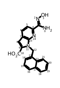 N/C(=N\O)c1ccc2cc(C(=O)O)n(Cc3cccc4ccccc34)c2n1